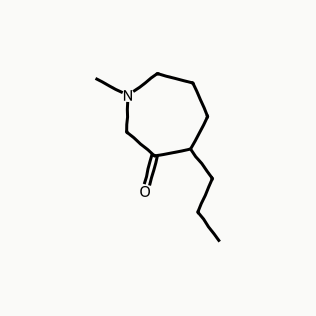 CCCC1CCCN(C)CC1=O